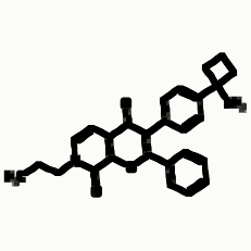 CCCn1ccc2c(=O)c(-c3ccc(C4(N)CCC4)cc3)c(-c3ccccc3)oc2c1=O